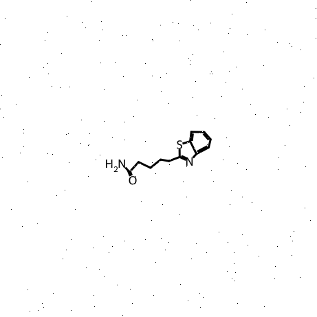 NC(=O)CCCCc1nc2ccccc2s1